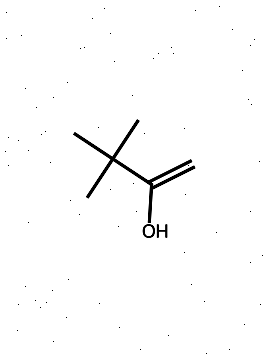 C=C(O)C(C)(C)C